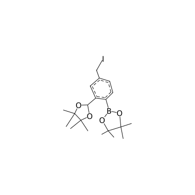 CC1(C)OB(c2ccc(CI)cc2C2OC(C)(C)C(C)(C)O2)OC1(C)C